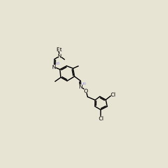 CCN(C)/C=N\c1cc(C)c(/C=N/OCc2cc(Cl)cc(Cl)c2)cc1C